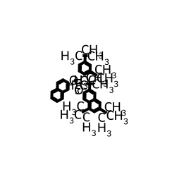 CC(C)(C)c1ccc(OP(Oc2ccc3ccccc3c2)Oc2cc3c(C(C)(C)C)cc(C(C)(C)C)cc3cc2C(C)(C)C)c(C(C)(C)C)c1